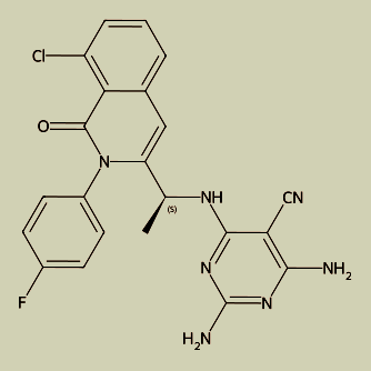 C[C@H](Nc1nc(N)nc(N)c1C#N)c1cc2cccc(Cl)c2c(=O)n1-c1ccc(F)cc1